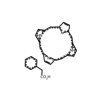 C1=Cc2cc3ccc(cc4nc(cc5ccc(cc1n2)[nH]5)C=C4)[nH]3.O=C(O)Cc1ccccc1